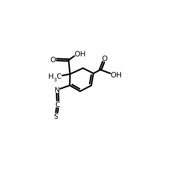 CC1(C(=O)O)CC(C(=O)O)=CC=C1N=C=S